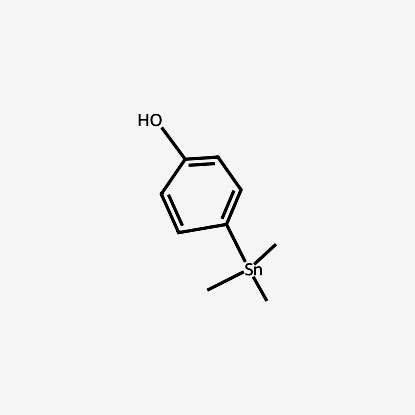 [CH3][Sn]([CH3])([CH3])[c]1ccc(O)cc1